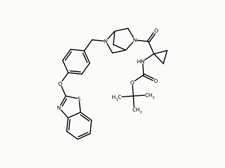 CC(C)(C)OC(=O)NC1(C(=O)N2CC3CC2CN3Cc2ccc(Oc3nc4ccccc4s3)cc2)CC1